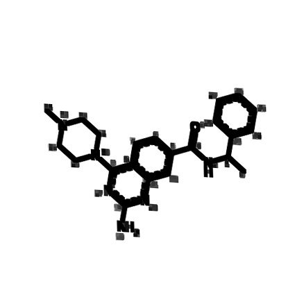 CC(NC(=O)c1ccc2c(N3CCN(C)CC3)nc(N)nc2c1)c1ccccc1